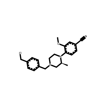 COc1cc(C#N)ccc1N1CCN(Cc2ccc(CCl)cc2)C[C@@H]1C